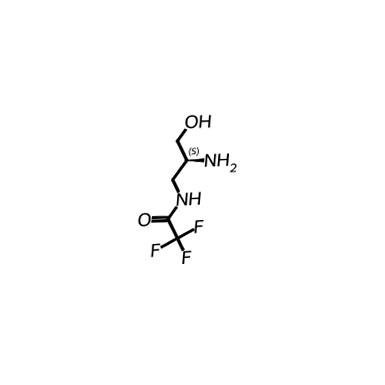 N[C@H](CO)CNC(=O)C(F)(F)F